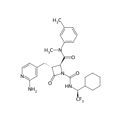 Cc1cccc(N(C)C(=O)[C@@H]2[C@@H](Cc3ccnc(N)c3)C(=O)N2C(=O)N[C@@H](C2CCCCC2)C(F)(F)F)c1